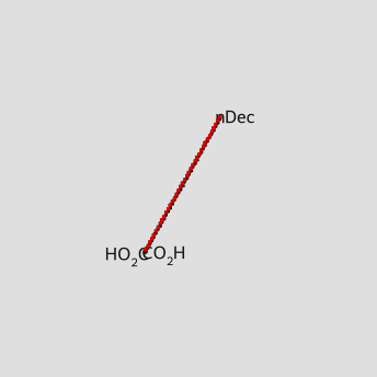 CCCCCCCCCCCCCCCCCCCCCCCCCCCCCCCCCCCCCCCCCCCCCCCCCCCCCCCCCCCCCCCCCCCCCCCCCCCCCCCCCCC(C(=O)O)C(=O)O